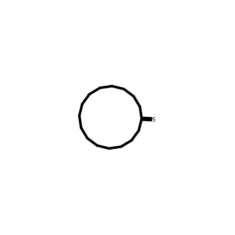 S=C1C[CH]CCCCCCC[CH]CCCCC1